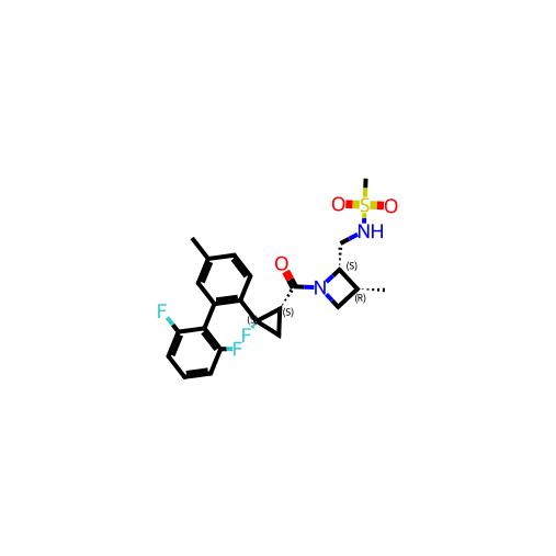 Cc1ccc([C@]2(F)C[C@H]2C(=O)N2C[C@@H](C)[C@H]2CNS(C)(=O)=O)c(-c2c(F)cccc2F)c1